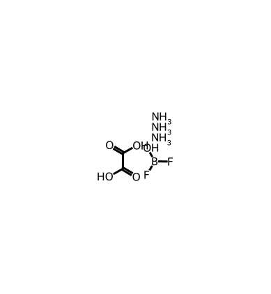 N.N.N.O=C(O)C(=O)O.OB(F)F